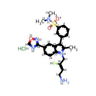 Cc1c(-c2cccc(S(=O)(=O)N(C)C)c2)c2cc(-c3ncon3)ccc2n1CC(F)=CCN.Cl